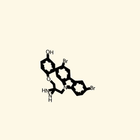 Oc1ccc(OCC2(Cn3c4ccc(Br)cc4c4cc(Br)ccc43)NN2)cc1